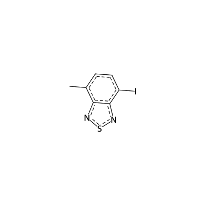 Cc1ccc(I)c2nsnc12